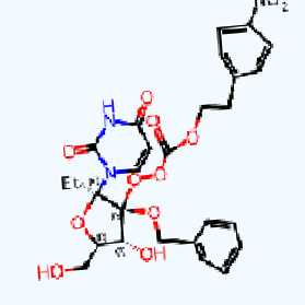 CC[C@@]1(n2ccc(=O)[nH]c2=O)O[C@H](CO)[C@@H](O)[C@@]1(OCc1ccccc1)OOC(=O)OCCc1ccc([N+](=O)[O-])cc1